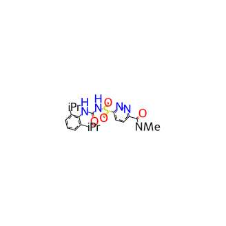 CNC(=O)c1ccc(S(=O)(=O)NC(=O)Nc2c(C(C)C)cccc2C(C)C)nn1